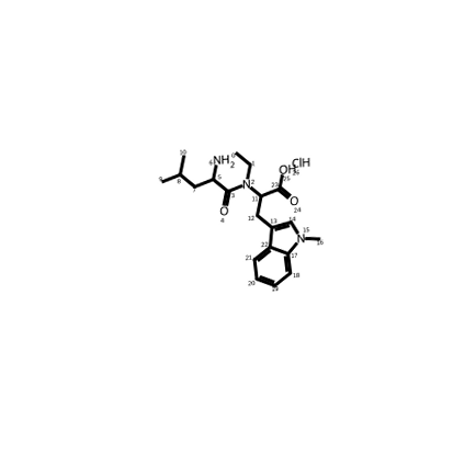 CCN(C(=O)C(N)CC(C)C)C(Cc1cn(C)c2ccccc12)C(=O)O.Cl